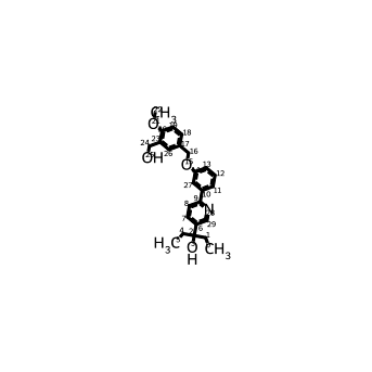 CCC(O)(CC)c1ccc(-c2cccc(OCc3ccc(OC)c(CO)c3)c2)nc1